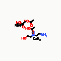 CC(=O)O.CC(=O)O.CC(=O)O.NCCNCCO.[CaH2].[NaH].[NaH]